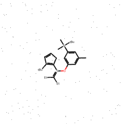 CC[C](CC)=[Ti]([O]c1cc(C)cc([Si](C)(C)C(C)(C)C)c1)[C]1=C(C(C)(C)C)C=CC1